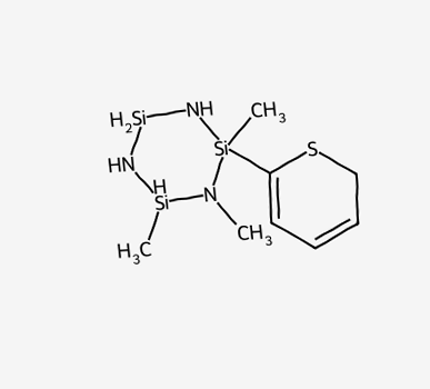 CN1[SiH](C)N[SiH2]N[Si]1(C)C1=CC=CCS1